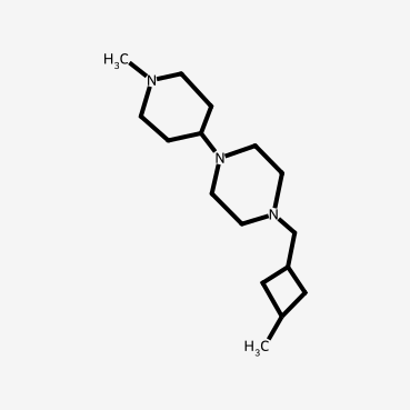 CC1CC(CN2CCN(C3CCN(C)CC3)CC2)C1